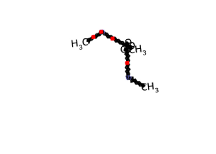 CCCCCCCC/C=C\CCCCCCCCCCCC(=O)C(C(C)=O)C(=O)CCCCCCCCCCC/C=C\CCCCCCCC